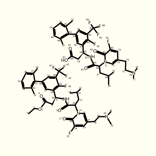 CCOC(=O)C[C@H](NC(=O)C(CC(C)C)n1cc(CCN(C)C)cc(F)c1=O)c1cc(-c2c(C)cccc2C)cc(C(F)(F)F)c1F.Cc1cccc(C)c1-c1cc([C@H](CC(=O)O)NC(=O)C(CC(C)C)n2cc(CCN(C)C)cc(F)c2=O)c(F)c(C(F)(F)F)c1